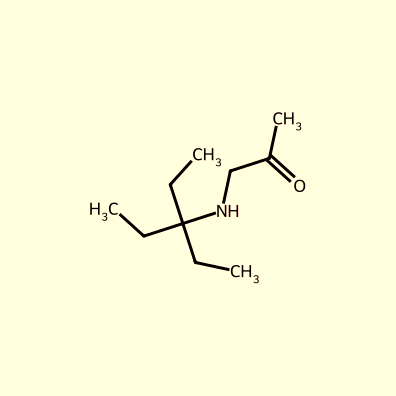 CCC(CC)(CC)NCC(C)=O